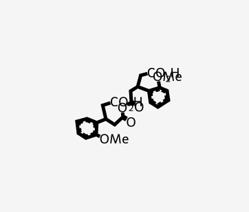 COc1ccccc1C(CC(=O)O)CC(=O)OC(=O)CC(CC(=O)O)c1ccccc1OC